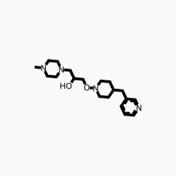 CN1CCN(CC(O)CON2CCC(Cc3cccnc3)CC2)CC1